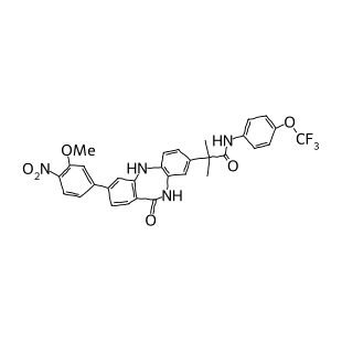 COc1cc(-c2ccc3c(c2)Nc2ccc(C(C)(C)C(=O)Nc4ccc(OC(F)(F)F)cc4)cc2NC3=O)ccc1[N+](=O)[O-]